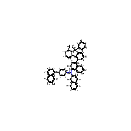 CC1(c2ccccc2)c2ccccc2-c2c(-c3ccc(N(c4ccc(-c5cccc6ccccc56)cc4)c4ccc5ccccc5c4)c4ccccc34)cccc21